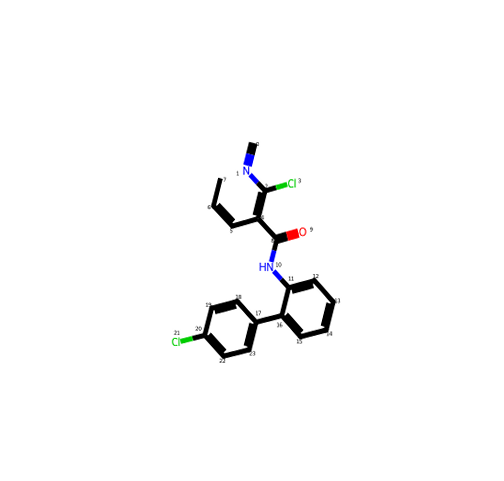 C=N/C(Cl)=C(\C=C/C)C(=O)Nc1ccccc1-c1ccc(Cl)cc1